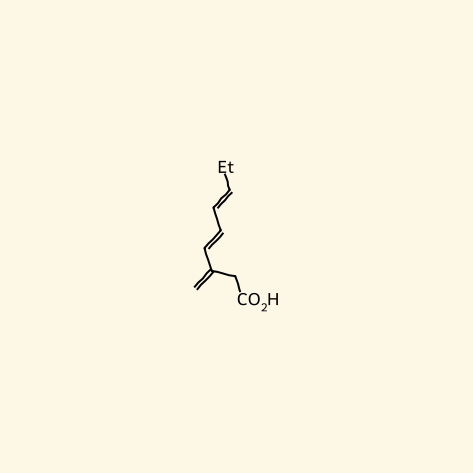 C=C(C=CC=CCC)CC(=O)O